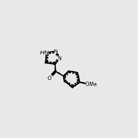 COc1ccc(C(=O)c2c[nH]nn2)cc1